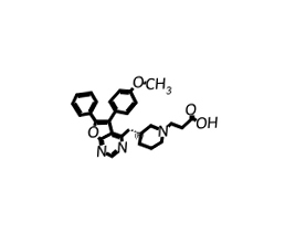 COc1ccc(-c2c(-c3ccccc3)oc3ncnc(C[C@H]4CCCN(CCC(=O)O)C4)c23)cc1